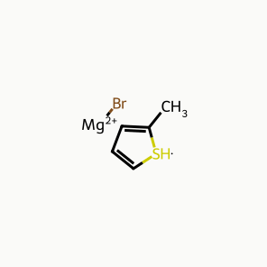 CC1=CC=C[SH]1.[Mg+2][Br]